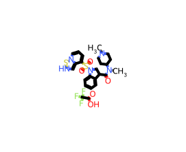 CN1CCC(N(C)C(=O)C2CN(S(=O)(=O)C3=CC=CN4SNC=C34)c3ccccc32)CC1.O=C(O)C(F)(F)F